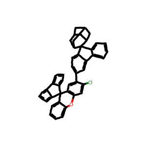 Clc1cc2c(cc1-c1ccc3c(c1)-c1ccccc1C31C3CC4CC(C3)CC1C4)C1(c3ccccc3O2)c2ccccc2-c2ccccc21